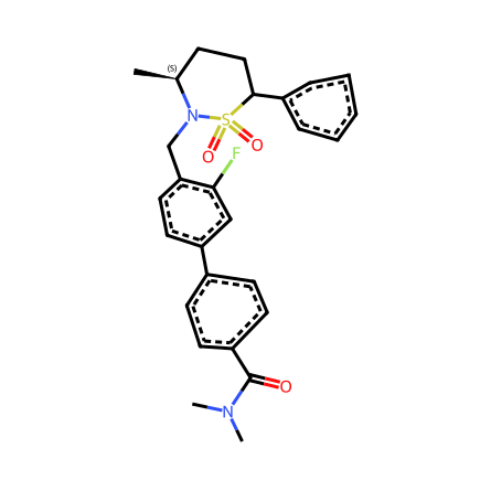 C[C@H]1CCC(c2ccccc2)S(=O)(=O)N1Cc1ccc(-c2ccc(C(=O)N(C)C)cc2)cc1F